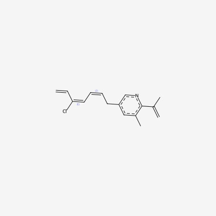 C=C/C(Cl)=C\C=C/Cc1cnc(C(=C)C)c(C)c1